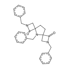 O=C1N(Cc2ccccc2)CC12CCC1(CN(Cc3ccccc3)C1=O)N2Cc1ccccc1